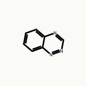 [c]1ccc2ncnnc2c1